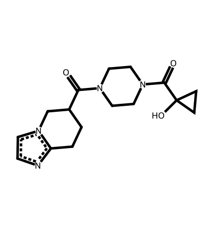 O=C(C1CCc2nccn2C1)N1CCN(C(=O)C2(O)CC2)CC1